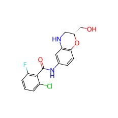 O=C(Nc1ccc2c(c1)NC[C@H](CO)O2)c1c(F)cccc1Cl